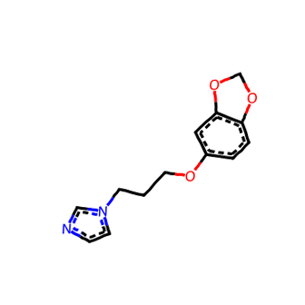 c1cn(CCCOc2ccc3c(c2)OCO3)cn1